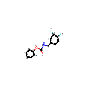 O=C(NCc1ccc(F)c(F)c1)Oc1ccccc1